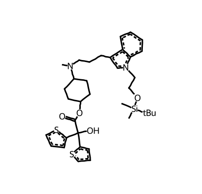 CN(CCCc1cn(CCO[Si](C)(C)C(C)(C)C)c2ccccc12)C1CCC(OC(=O)C(O)(c2cccs2)c2cccs2)CC1